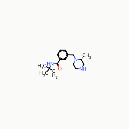 C[C@@H]1CNCCN1Cc1cccc(C(=O)NC(C)(C)C)c1